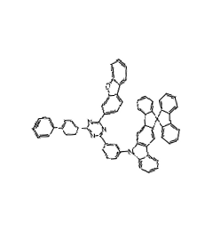 c1ccc(-c2ccc(-c3nc(-c4cccc(-n5c6ccccc6c6cc7c(cc65)-c5ccccc5C75c6ccccc6-c6ccccc65)c4)nc(-c4ccc5c(c4)oc4ccccc45)n3)cc2)cc1